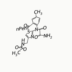 CCCCCC(=O)c1cc(C)ccc1N(C(=O)C(N)=O)c1nc(CNS(C)(=O)=O)cs1